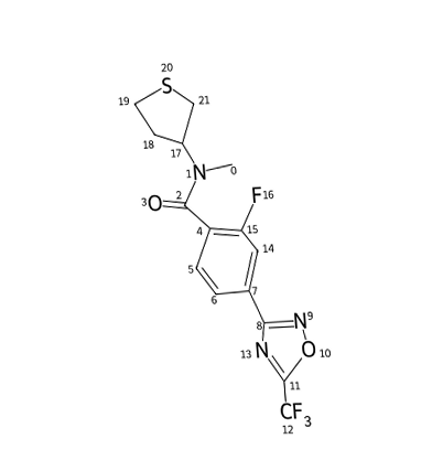 CN(C(=O)c1ccc(-c2noc(C(F)(F)F)n2)cc1F)C1CCSC1